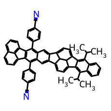 CC(C)c1c2c(c(C(C)C)c3ccccc13)C1=CC=C3c4cc5c(-c6ccc(C#N)cc6)c6c(c(-c7ccc(C#N)cc7)c5cc4C4=CC=C2C1C43)-c1cccc2cccc-6c12